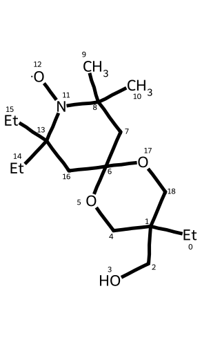 CCC1(CO)COC2(CC(C)(C)N([O])C(CC)(CC)C2)OC1